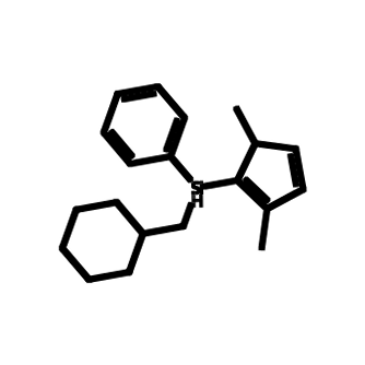 CC1=C([SiH](CC2CCCCC2)c2ccccc2)C(C)C=C1